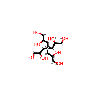 OCC(O)C[Si](CC(O)CO)(CC(O)CO)CC(O)CO